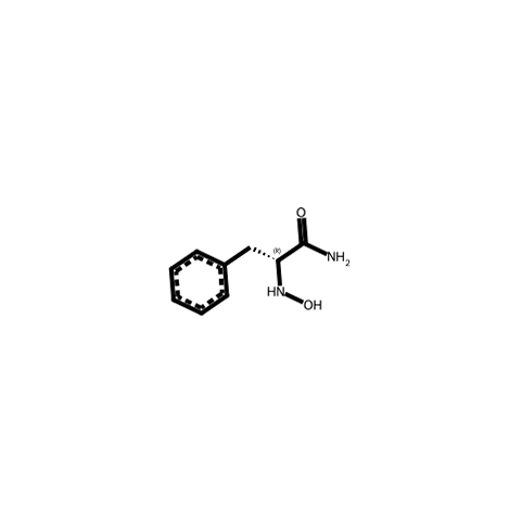 NC(=O)[C@@H](Cc1ccccc1)NO